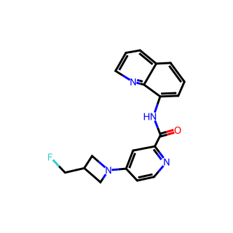 O=C(Nc1cccc2cccnc12)c1cc(N2CC(CF)C2)ccn1